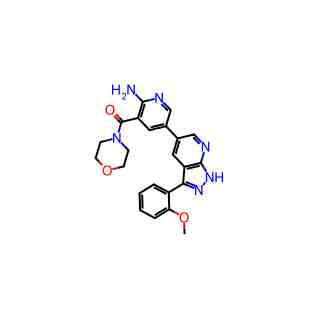 COc1ccccc1-c1n[nH]c2ncc(-c3cnc(N)c(C(=O)N4CCOCC4)c3)cc12